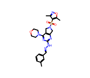 Cc1cccc(/C=N/Nc2nc3c(c(N4CCOCC4)n2)CN(S(=O)(=O)c2c(C)noc2C)C3)c1